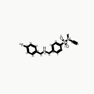 C#CN(C)S(=O)(=O)c1ccc(CNCc2ccc(F)cc2)cc1